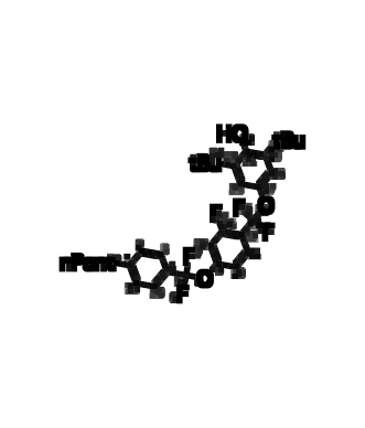 CCCCCc1ccc(C(F)(F)Oc2ccc(C(F)(F)Oc3cc(C(C)(C)C)c(O)c(C(C)(C)C)c3)c(F)c2)cc1